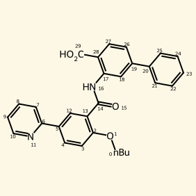 CCCCOc1ccc(-c2ccccn2)cc1C(=O)Nc1cc(-c2ccccc2)ccc1C(=O)O